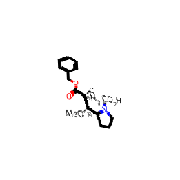 CO[C@@H](C1CCCN1C(=O)O)[C@@H](C)C(=O)OCc1ccccc1